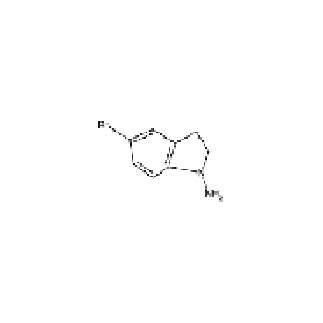 NN1CCc2cc(Br)ccc21